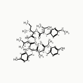 CC[C@@H](C)[C@@H](OC(=O)[C@@H](Cc1ccc(OC)cc1)N(C)C)C(=O)N[C@H](C(=O)N(C)[C@@H](Cc1ccc(O)cc1)C(=O)N(C)[C@@H](Cc1ccc(O)cc1)C(=O)OC)C(C)C